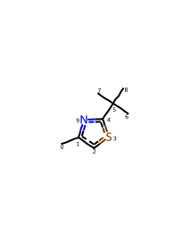 Cc1csc(C(C)(C)C)n1